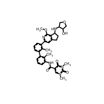 COc1nc(-c2cccc(-c3cccc(NC(=O)c4cn(C)c(=O)n(C)c4=O)c3C)c2C)cc2c1C(NC1COCC1O)CC2